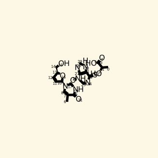 CC(O)C(=O)O.Cc1cn([C@H]2C=C[C@@H](CO)O2)c(=O)[nH]c1=O.S=c1nc[nH]c2nc[nH]c12